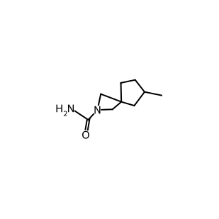 CC1CCC2(C1)CN(C(N)=O)C2